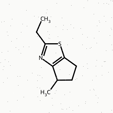 CCc1nc2c(s1)CCC2C